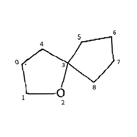 [CH]1COC2(C1)CCCC2